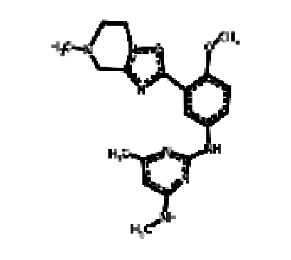 CNc1cc(C)nc(Nc2ccc(OC)c(-c3nc4n(n3)CCN(C)C4)c2)n1